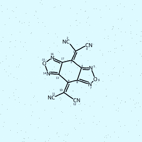 N#CC(C#N)=c1c2nonc2c(=C(C#N)C#N)c2nonc12